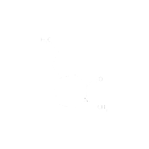 CCCC1CCCN(C)C(=O)C1